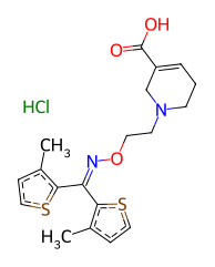 Cc1ccsc1C(=NOCCN1CCC=C(C(=O)O)C1)c1sccc1C.Cl